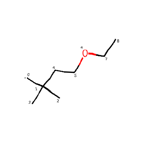 [CH2]C(C)(C)CCOCC